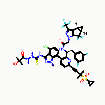 Cn1nc(NC(=S)NNC(=O)C(C)(C)O)c2c(Cl)ccc(-c3ccc(C#CC(C)(C)S(=O)(=O)C4CC4)nc3[C@H](Cc3cc(F)cc(F)c3)NC(=O)Cn3nc(C(F)(F)F)c4c3C(F)(F)[C@@H]3C[C@H]43)c21